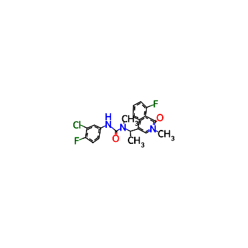 CC(c1cn(C)c(=O)c2c(F)cccc12)N(C)C(=O)Nc1ccc(F)c(Cl)c1